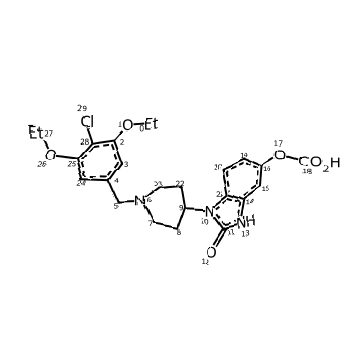 CCOc1cc(CN2CCC(n3c(=O)[nH]c4cc(OC(=O)O)ccc43)CC2)cc(OCC)c1Cl